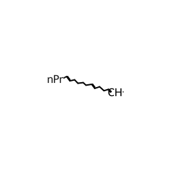 [CH]=CCCC=CCCCCC=CCCC